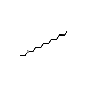 CC=CCCCCCCCSCC